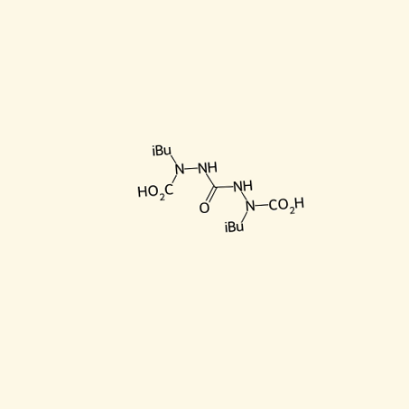 CCC(C)N(NC(=O)NN(C(=O)O)C(C)CC)C(=O)O